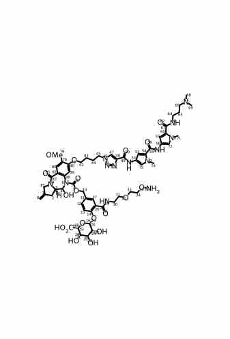 C=C1C[C@H]2C(O)N(C(=O)OCc3ccc(O[C@@H]4O[C@H](C(=O)O)[C@@H](O)[C@H](O)[C@H]4O)c(C(=O)NCCOCCON)c3)c3cc(OCCCCn4cc(C(=O)Nc5cc(C(=O)Nc6cc(C(=O)NCCCN(C)C)n(C)c6)n(C)c5)nn4)c(OC)cc3C(=O)N2C1